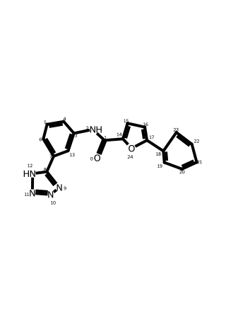 O=C(Nc1cccc(-c2nnn[nH]2)c1)c1ccc(-c2ccccc2)o1